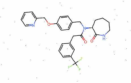 O=C1NCCCC[C@@H]1N(Cc1ccc(OCc2ccccn2)cc1)C(=O)Cc1cccc(C(F)(F)F)c1